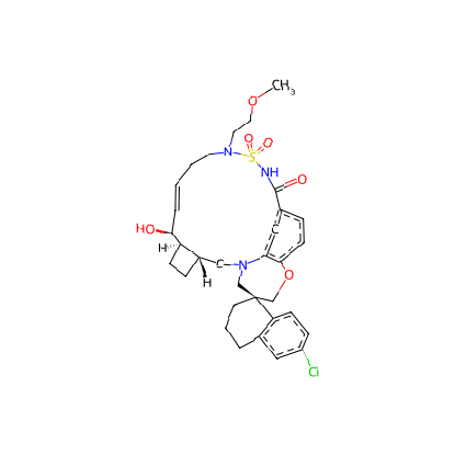 COCCN1CC/C=C/[C@H](O)[C@@H]2CC[C@H]2CN2C[C@@]3(CCCc4cc(Cl)ccc43)COc3ccc(cc32)C(=O)NS1(=O)=O